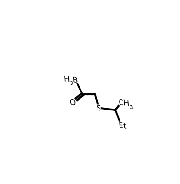 BC(=O)CSC(C)CC